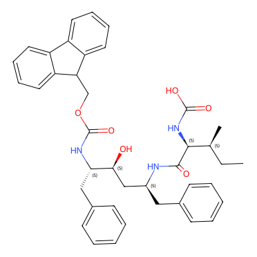 CC[C@H](C)[C@H](NC(=O)O)C(=O)N[C@@H](Cc1ccccc1)C[C@H](O)[C@H](Cc1ccccc1)NC(=O)OCC1c2ccccc2-c2ccccc21